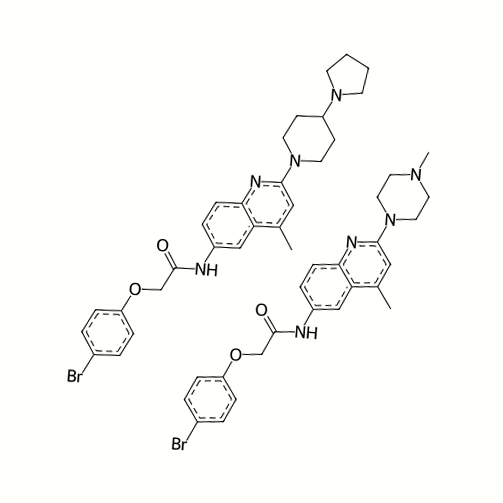 Cc1cc(N2CCC(N3CCCC3)CC2)nc2ccc(NC(=O)COc3ccc(Br)cc3)cc12.Cc1cc(N2CCN(C)CC2)nc2ccc(NC(=O)COc3ccc(Br)cc3)cc12